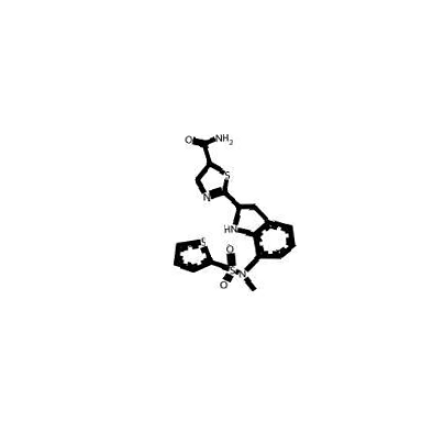 CN(c1cccc2c1NC(C1=NCC(C(N)=O)S1)C2)S(=O)(=O)c1cccs1